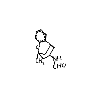 CC12CC(NC=O)CC(C1)c1ccccc1O2